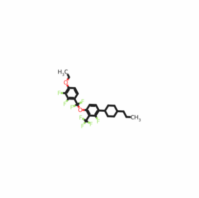 CCCC1CCC(c2ccc(OC(F)(F)c3ccc(OCC)c(F)c3F)c(C(F)(F)F)c2F)CC1